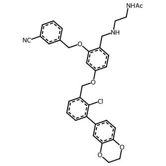 CC(=O)NCCNCc1ccc(OCc2cccc(-c3ccc4c(c3)OCCO4)c2Cl)cc1OCc1cccc(C#N)c1